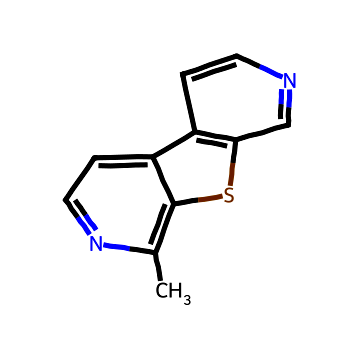 Cc1nccc2c1sc1cnccc12